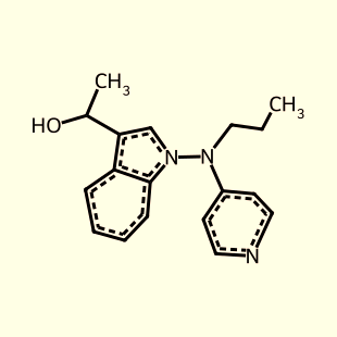 CCCN(c1ccncc1)n1cc(C(C)O)c2ccccc21